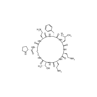 CC(C)C[C@@H]1NC(=O)[C@@H](Cc2ccccc2)NC(=O)[C@H](CCN)NC(=O)[C@@H](NC(=O)[C@H]2CCCN2)CCNC(=O)[C@H]([C@@H](C)O)NC(=O)[C@H](CCN)NC(=O)[C@H](CCN)NC1=O